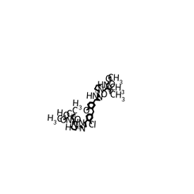 CC[C@H](C)[C@H](NC(=O)OC)C(=O)N1CCC[C@H]1c1ncc(-c2ccc3c(c2)Cc2cc(Cl)c(-c4cnc([C@@H]5CCCN5C(=O)[C@@H](NC(=O)OC)[C@@H](C)CC)[nH]4)cc2O3)[nH]1